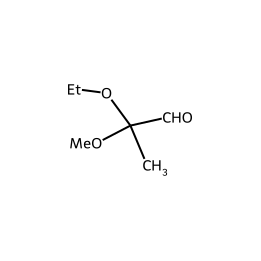 CCOC(C)(C=O)OC